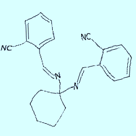 N#Cc1ccccc1C=NC1(/N=C/c2ccccc2C#N)CCCCC1